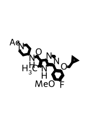 COc1cc(-c2ncnc3c(C(=O)NC4CCN(C(C)=O)CC4)c(C)[nH]c23)c(OCC2CC2)cc1F